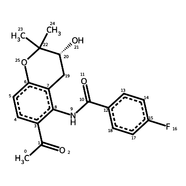 CC(=O)c1ccc2c(c1NC(=O)c1ccc(F)cc1)C[C@@H](O)C(C)(C)O2